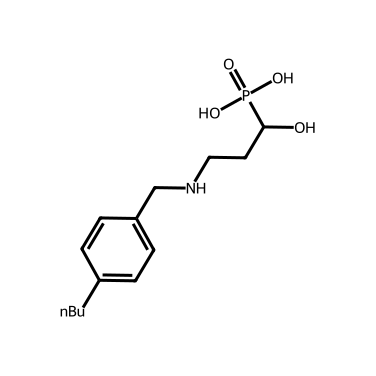 CCCCc1ccc(CNCCC(O)P(=O)(O)O)cc1